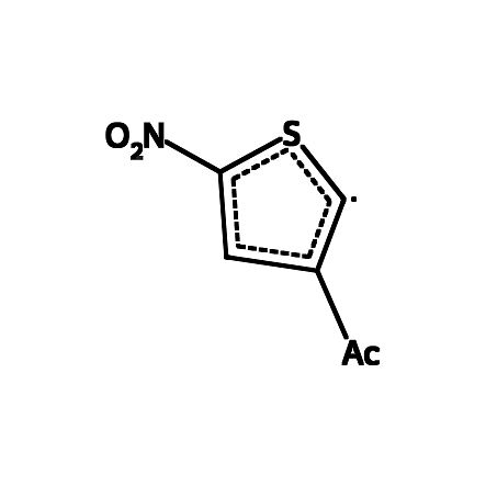 CC(=O)c1[c]sc([N+](=O)[O-])c1